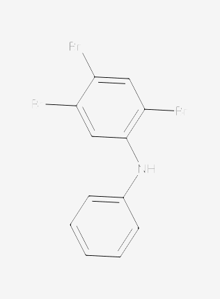 Brc1cc(Br)c(Nc2ccccc2)cc1Br